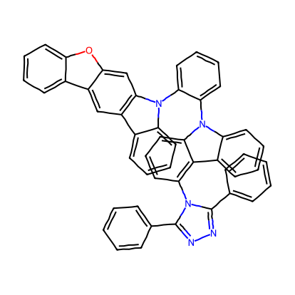 c1ccc(-c2nnc(-c3ccccc3)n2-c2cccc3c2c2ccccc2n3-c2ccccc2-n2c3ccccc3c3cc4c(cc32)oc2ccccc24)cc1